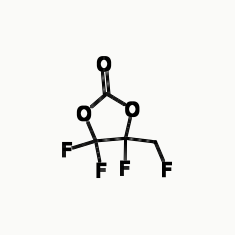 O=C1OC(F)(F)C(F)(CF)O1